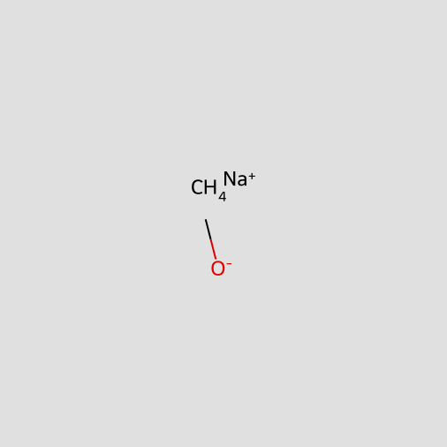 C.C[O-].[Na+]